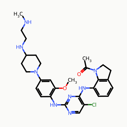 CNCCNC1CCN(c2ccc(Nc3ncc(Cl)c(Nc4cccc5c4N(C(C)=O)CC5)n3)c(OC)c2)CC1